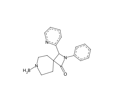 BN1CCC2(CC1)C(=O)N(c1ccccc1)C2c1ccccn1